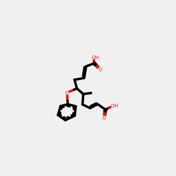 CC(C/C=C/C(=O)O)C(C/C=C/C(=O)O)Oc1ccccc1